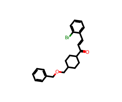 O=C(C=Cc1ccccc1Br)C1CCC(COCc2ccccc2)CC1